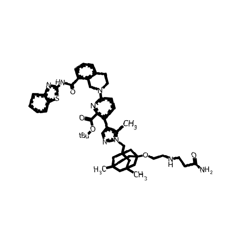 Cc1c(-c2ccc(N3CCc4cccc(C(=O)Nc5nc6ccccc6s5)c4C3)nc2C(=O)OC(C)(C)C)cnn1CC12CC3(C)CC(C)(C1)CC(OCCNCCC(N)=O)(C3)C2